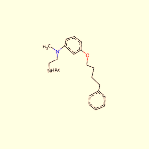 CC(=O)NCCN(C)c1cccc(OCCCCc2ccccc2)c1